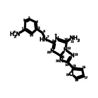 Nc1cccc(CNc2nc(N)n3nc(-c4ccco4)nc3n2)c1